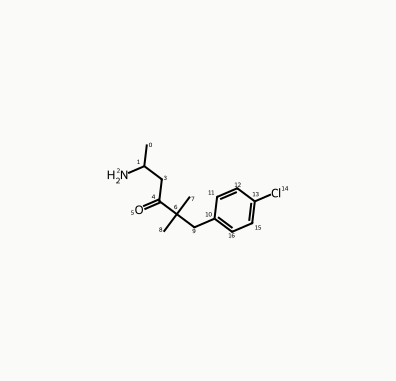 CC(N)CC(=O)C(C)(C)Cc1ccc(Cl)cc1